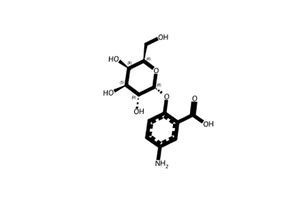 Nc1ccc(O[C@H]2O[C@H](CO)[C@H](O)[C@H](O)[C@H]2O)c(C(=O)O)c1